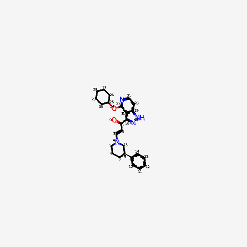 O=C(/C=C/N1CCC[C@H](c2ccccc2)C1)c1n[nH]c2ccnc(OC3CCCCC3)c12